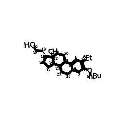 CCCCOc1cc2c(cc1CC)C1CC[C@@]3(C)C(CC[C@@H]3CCO)C1CC2